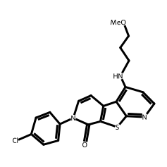 COCCCNc1ccnc2sc3c(=O)n(-c4ccc(Cl)cc4)ccc3c12